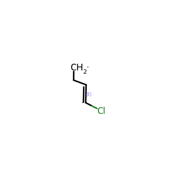 [CH2]C/C=[C]/Cl